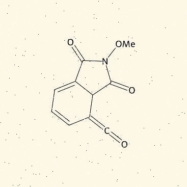 CON1C(=O)C2=CC=CC(=C=O)C2C1=O